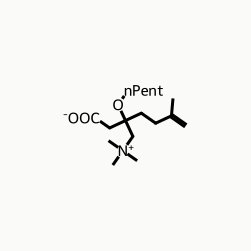 C=C(C)CCC(CC(=O)[O-])(C[N+](C)(C)C)OCCCCC